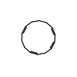 [C]1=CCCC=CCCCC=CC=CC1